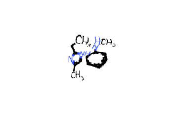 CCc1nc(C)c[nH]1.CNc1ccccc1